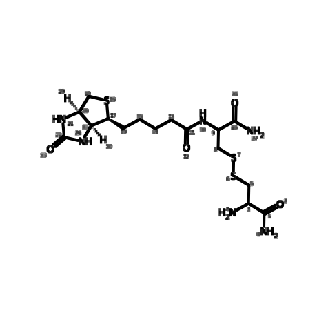 NC(=O)C(N)CSSCC(NC(=O)CCCC[C@@H]1SC[C@@H]2NC(=O)N[C@@H]21)C(N)=O